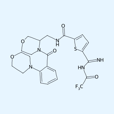 N=C(NC(=O)C(F)(F)F)c1ccc(C(=O)NCC2COCCN2C(=O)c2ccccc2N2CCOCC2)s1